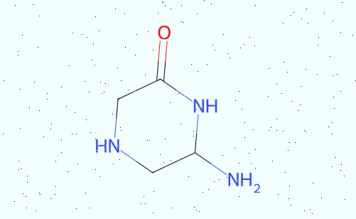 NC1CNCC(=O)N1